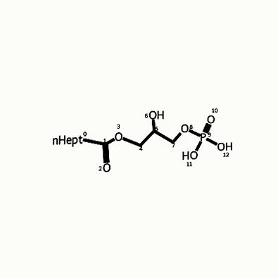 CCCCCCCC(=O)OCC(O)COP(=O)(O)O